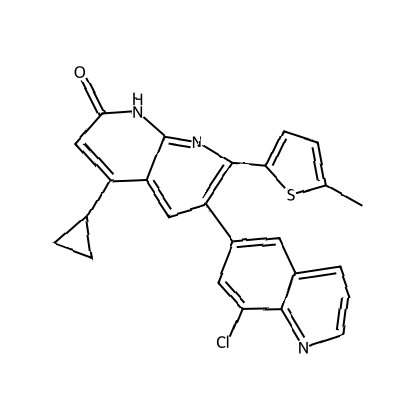 Cc1ccc(-c2nc3[nH]c(=O)cc(C4CC4)c3cc2-c2cc(Cl)c3ncccc3c2)s1